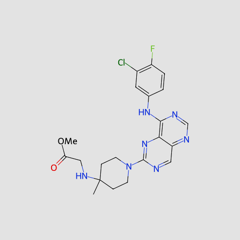 COC(=O)CNC1(C)CCN(c2ncc3ncnc(Nc4ccc(F)c(Cl)c4)c3n2)CC1